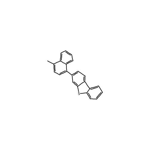 Cc1ccc(-c2ccc3c(c2)sc2ccccc23)c2ccccc12